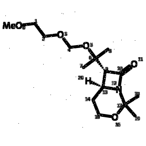 COCCOCOC(C)(C)[C@@H]1C(=O)N2[C@H]1CCOC2(C)C